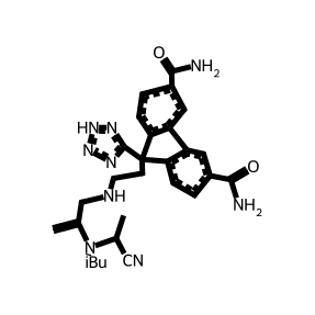 C=C(CNCCC1(c2nn[nH]n2)c2ccc(C(N)=O)cc2-c2cc(C(N)=O)ccc21)N(C(C)C#N)C(C)CC